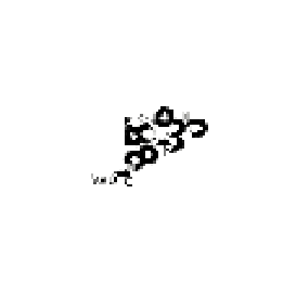 COCC(=O)N1CCc2cc(Nc3nccc(-c4c(-c5cccc(NC(=O)c6c(F)cccc6F)c5)nc5ccccn45)n3)ccc2C1